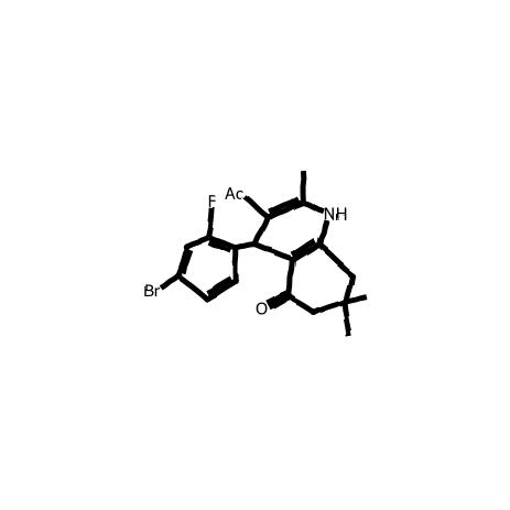 CC(=O)C1=C(C)NC2=C(C(=O)CC(C)(C)C2)C1c1ccc(Br)cc1F